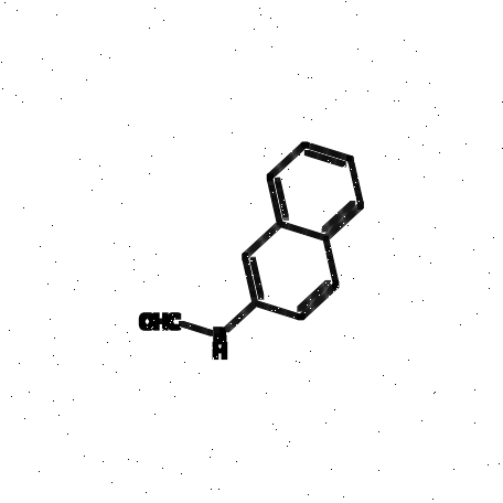 O=CBc1ccc2ccccc2c1